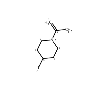 C=C(C)N1CCC(I)CC1